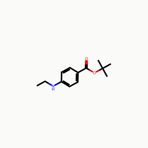 CCNc1[c]cc(C(=O)OC(C)(C)C)cc1